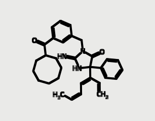 C=C/C(=C\C=C/C)C1(c2ccccc2)NC(=N)N(Cc2cccc(C(=O)C3CCCCCCC3)c2)C1=O